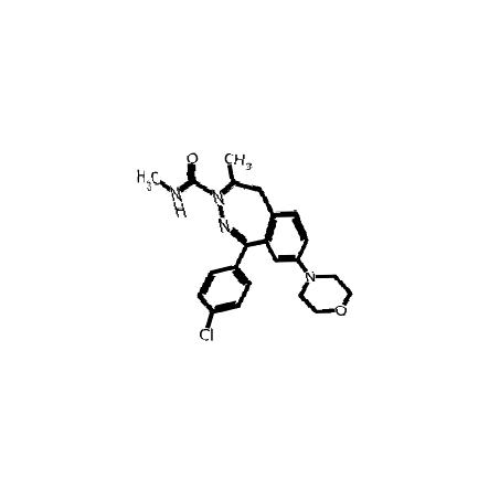 CNC(=O)N1N=C(c2ccc(Cl)cc2)c2cc(N3CCOCC3)ccc2CC1C